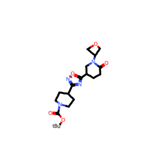 CC(C)(C)OC(=O)N1CCC(c2noc(C3CCC(=O)N(C4COC4)C3)n2)CC1